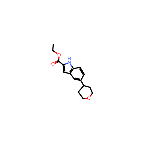 CCOC(=O)c1cc2cc(C3CCOCC3)ccc2[nH]1